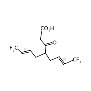 O=C(O)CC(=O)C(C/C=C/C(F)(F)F)C/C=C/C(F)(F)F